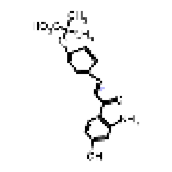 CC(C)(Oc1ccc(/C=C/C(=O)c2ccc(O)cc2N)cc1)C(=O)O